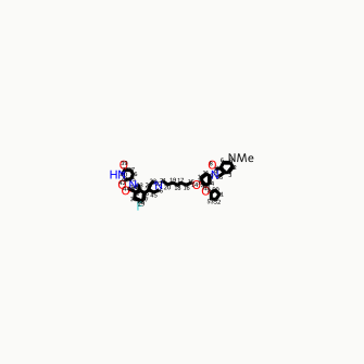 CNc1ccc2c(c1)C(=O)N(c1ccc(OCCCCCCCN3CCC(c4cc(F)cc5c4CN(C4CCC(=O)NC4=O)C5=O)CC3)c(OC3CCCC3)c1)C2